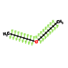 CC(F)(F)C(F)(F)C(F)(F)C(F)(F)C(F)(F)C(F)(F)C(F)(F)C(F)(F)OC(F)(F)C(F)(F)C(F)(F)C(F)(F)C(F)(F)C(F)(F)C(F)(F)C(C)(F)F